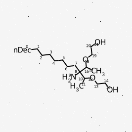 CCCCCCCCCCCCCCCCCC(N)(C(C)OCCO)C(C)OCCO